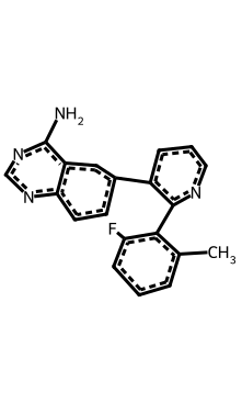 Cc1cccc(F)c1-c1ncccc1-c1ccc2ncnc(N)c2c1